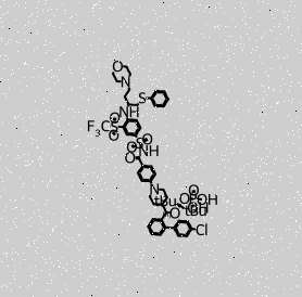 CC(C)(C)C(O[C@@H](c1ccccc1-c1ccc(Cl)cc1)C1CCN(c2ccc(C(=O)NS(=O)(=O)c3ccc(NC(CCN4CCOCC4)CSc4ccccc4)c(S(=O)(=O)C(F)(F)F)c3)cc2)CC1)(OP(=O)(O)O)C(C)(C)C